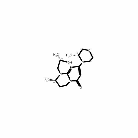 C[C@H](O)CN1c2nc(N3CCOC[C@H]3C)cc(=O)n2CC[C@H]1C(F)(F)F